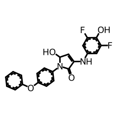 O=C1C(Nc2cc(F)c(O)c(F)c2)=CC(O)N1c1ccc(Oc2ccccc2)cc1